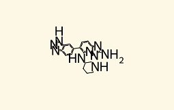 Nc1nc2ccc(-c3ccc4nn[nH]c4c3)c(NC3CCCNC3)n2n1